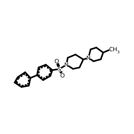 CC1CCN(C2CCN(S(=O)(=O)c3ccc(-c4ccccc4)cc3)CC2)CC1